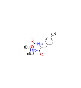 CCCCNC(=O)C(Cc1ccc(C#N)cc1)NC(=O)OC(C)(C)C